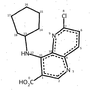 O=C(O)c1cnc2ccc(Cl)nc2c1NC1CCCCC1